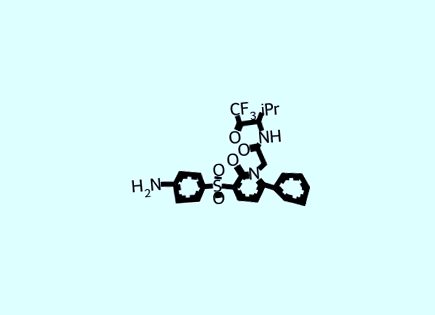 CC(C)C(NC(=O)Cn1c(-c2ccccc2)ccc(S(=O)(=O)c2ccc(N)cc2)c1=O)C(=O)C(F)(F)F